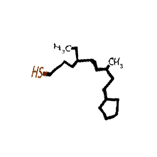 CCC(CCCS)CCC(C)CCC1CCCC1